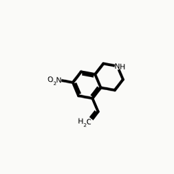 C=Cc1cc([N+](=O)[O-])cc2c1CCNC2